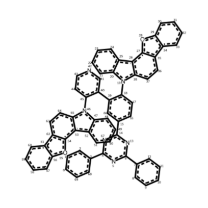 c1ccc(-c2nc(-c3ccccc3)nc(-c3ccc(-n4c5ccccc5c5c6oc7ccccc7c6ccc54)c(-c4cnccc4-n4c5ccccc5c5c6oc7ccccc7c6ccc54)c3)n2)cc1